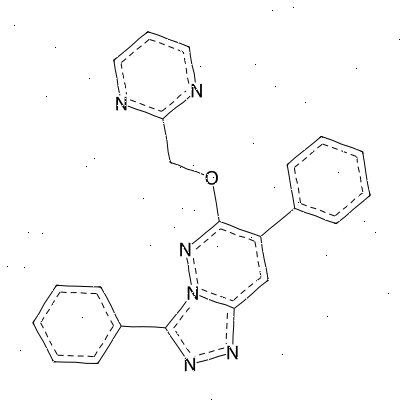 c1ccc(-c2cc3nnc(-c4ccccc4)n3nc2OCc2ncccn2)cc1